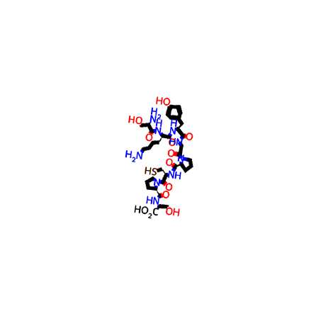 NCCCC[C@H](NC(=O)[C@@H](N)CO)C(=O)N[C@@H](Cc1ccc(O)cc1)C(=O)NCC(=O)N1CCC[C@H]1C(=O)N[C@@H](CS)C(=O)N1CCC[C@H]1C(=O)N[C@@H](CO)C(=O)O